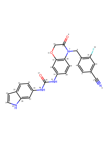 N#Cc1ccc(CN2C(=O)COc3cc(NC(=O)Nc4ccc5cc[nH]c5c4)ccc32)c(F)c1